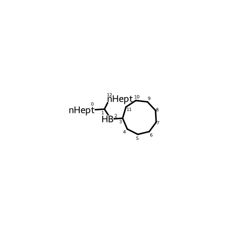 CCCCCCCC(BC1CCCCCCCC1)CCCCCCC